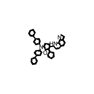 C1=CC(c2ccc(N(c3ccc(-c4ccccc4)cc3)c3ccc(-c4ccccc4)cc3)c3oc4ccccc4c23)Nc2c1ccc1c2=[N+]=CC=1